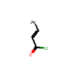 CC(=O)C=CC(=O)Cl